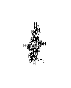 CC(C)(C)[Si](C)(C)O[C@H]1[C@H]2OP(=O)(O)OC[C@H]3O[C@@H](n4cnc5c(N)ncnc54)[C@H](F)[C@@H]3OP(=O)(O)OCC13C[C@@H]3[C@H]2n1cnc2c(=O)[nH]c(N)nc21